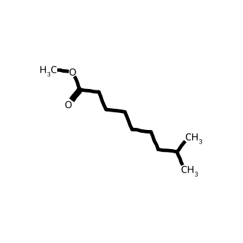 COC(=O)CCCCCCC(C)C